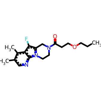 CCCOCCC(=O)N1CCn2c(c(F)c3c(C)c(C)cnc32)C1